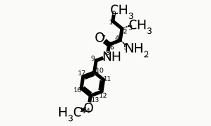 CC[C@H](C)[C@H](N)C(=O)NCc1ccc(OC)cc1